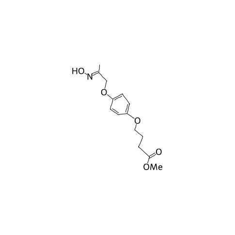 COC(=O)CCCOc1ccc(OCC(C)=NO)cc1